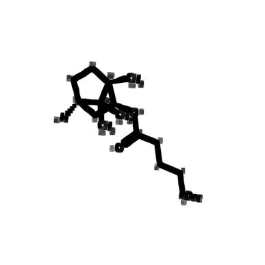 CCCCCCCCCCCCCC(=O)O[C@H]1C[C@H]2CC[C@@]1(C)C2(C)C